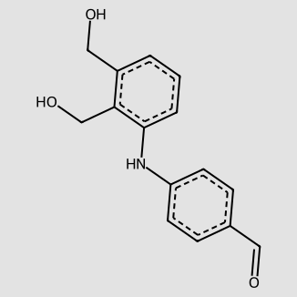 O=Cc1ccc(Nc2cccc(CO)c2CO)cc1